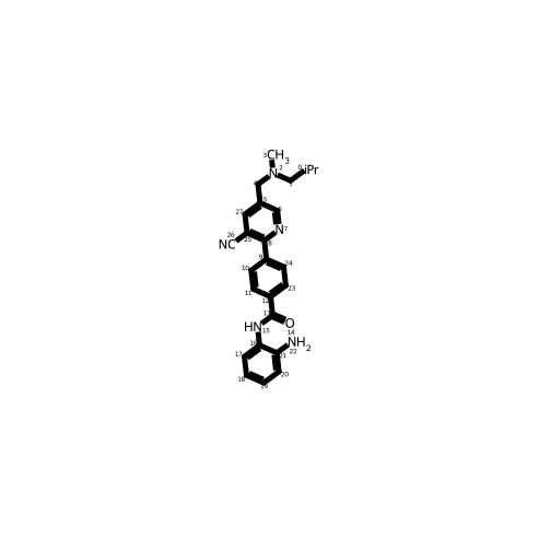 CC(C)CN(C)Cc1cnc(-c2ccc(C(=O)Nc3ccccc3N)cc2)c(C#N)c1